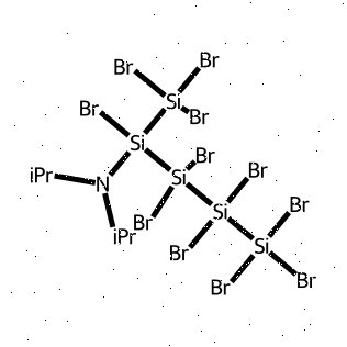 CC(C)N(C(C)C)[Si](Br)([Si](Br)(Br)Br)[Si](Br)(Br)[Si](Br)(Br)[Si](Br)(Br)Br